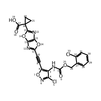 O=C(Nc1c(Cl)noc1C#Cc1nc2oc(C3(C(=O)O)CC3)nc2o1)OCc1ccccc1Cl